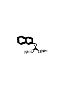 COC(OC)Oc1ccc2ccccc2c1